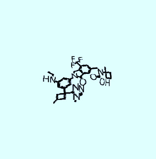 CCNc1cc(N2Cc3c(cc(CN(C(=O)O)C4(C)CCC4)cc3C(F)(F)F)C2=O)cc(C2(c3nncn3C)CC(C)C2)c1